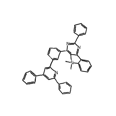 C[Si]1(C)c2ccccc2-c2nc(-c3ccccc3)nc(-c3cccc(-c4cc(-c5ccccc5)cc(-c5ccccc5)n4)c3)c21